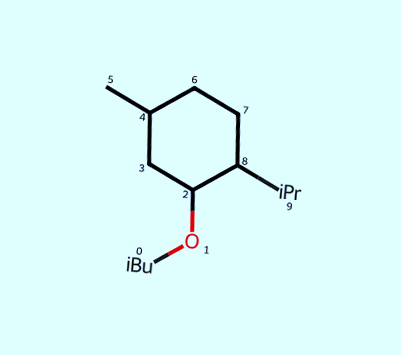 CCC(C)OC1CC(C)CCC1C(C)C